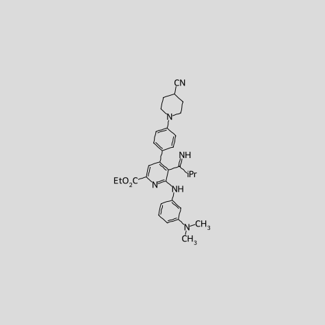 CCOC(=O)c1cc(-c2ccc(N3CCC(C#N)CC3)cc2)c(C(=N)C(C)C)c(Nc2cccc(N(C)C)c2)n1